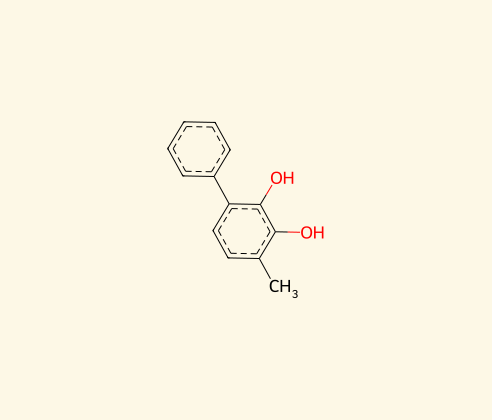 Cc1ccc(-c2ccccc2)c(O)c1O